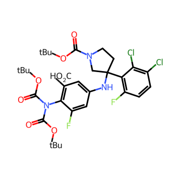 CC(C)(C)OC(=O)N1CCC(Nc2cc(F)c(N(C(=O)OC(C)(C)C)C(=O)OC(C)(C)C)c(C(=O)O)c2)(c2c(F)ccc(Cl)c2Cl)C1